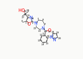 Cc1oc(N2CCCN(C(=O)c3ccccc3-n3cccn3)CC2)nc1C(C)(C)O